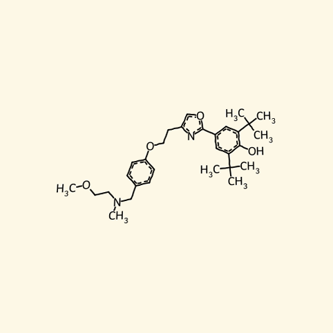 COCCN(C)Cc1ccc(OCCc2coc(-c3cc(C(C)(C)C)c(O)c(C(C)(C)C)c3)n2)cc1